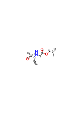 C#CC(NCC(=O)OCC(C)C)C(C)=O